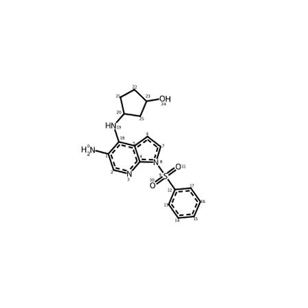 Nc1cnc2c(ccn2S(=O)(=O)c2ccccc2)c1NC1CCC(O)C1